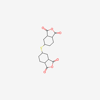 O=C1OC(=O)C2CC(SC3CCC4C(=O)OC(=O)C4C3)CCC12